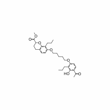 CCCc1c(OCCCCCOc2ccc3c(c2CCC)OC(C(=O)OC)CC3)ccc(C(C)=O)c1O